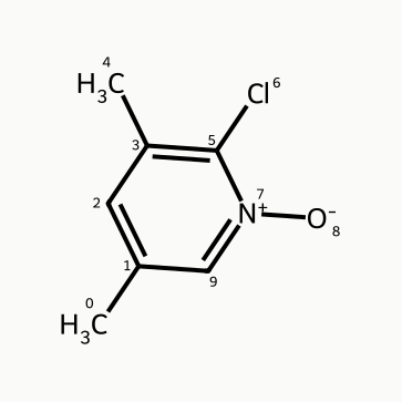 Cc1cc(C)c(Cl)[n+]([O-])c1